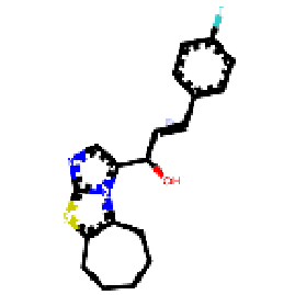 OC(/C=C/c1ccc(F)cc1)c1cnc2sc3c(n12)CCCCC3